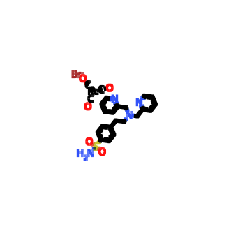 NS(=O)(=O)c1ccc(CCN(Cc2ccccn2)Cc2ccccn2)cc1.O=[C]=[Re+](=[C]=O)=[C]=O.[Br-]